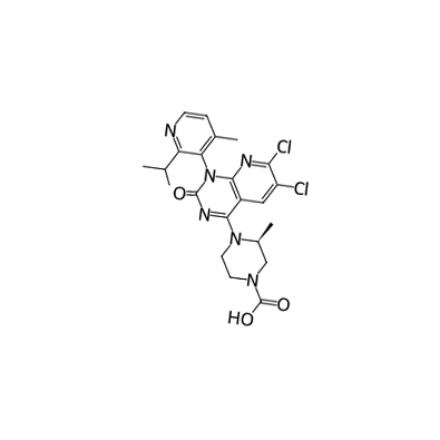 Cc1ccnc(C(C)C)c1-n1c(=O)nc(N2CCN(C(=O)O)C[C@@H]2C)c2cc(Cl)c(Cl)nc21